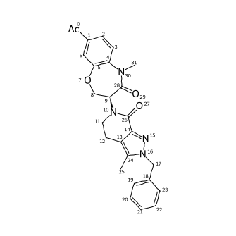 CC(=O)c1ccc2c(c1)OC[C@H](N1CCc3c(nn(Cc4ccccc4)c3C)C1=O)C(=O)N2C